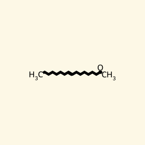 CCCCCCCC=CCCCCCCC(C)=O